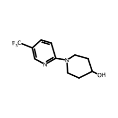 OC1CCN(c2ccc(C(F)(F)F)cn2)CC1